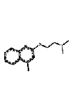 Cc1cc(OCCN(C)C)nc2ccccc12